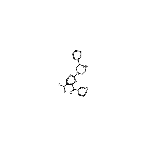 O=C(c1cccnc1)c1nc(N2CCNC(c3ccccc3)C2)ccc1C(F)F